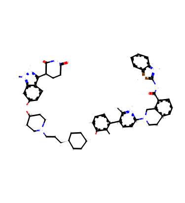 Cc1c(O[C@H]2CC[C@H](CCCN3CCC(Oc4ccc5c(C6CCC(=O)NC6=O)nn(C)c5c4)CC3)CC2)cccc1-c1ccc(N2CCc3cccc(C(=O)Nc4nc5ccccc5s4)c3C2)nc1C(=O)O